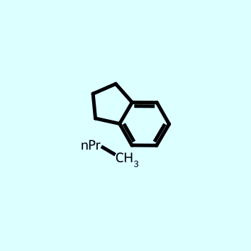 CCCC.c1ccc2c(c1)CCC2